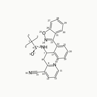 CC(C)(C)[S@+]([O-])NC(Cc1ncccc1C#N)c1ccccc1-c1noc2ccccc12